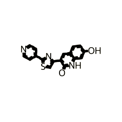 O=c1[nH]c2cc(O)ccc2cc1-c1csc(-c2ccncc2)n1